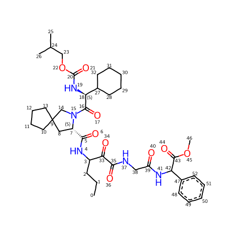 CCCC(NC(=O)[C@@H]1CC2(CCCC2)CN1C(=O)[C@@H](NC(=O)OCC(C)C)C1CCCCC1)C(=O)C(=O)NCC(=O)NC(C(=O)OC)c1ccccc1